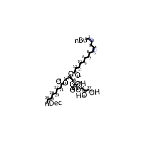 CCCC/C=C\C/C=C\CCCCCCCC(=O)O[C@H](COC(=O)CCCCCCCCCCCCCCCC)COP(=O)(O)OC[C@@H](O)CO